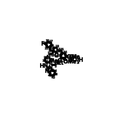 CCOCCn1c(NC2CCN(CCC3(Cc4cccc(F)c4)CCN(Cc4cc(OC)c(OC)c(OC)c4)C3=O)CC2)nc2ccccc21.CS(=O)(=O)O